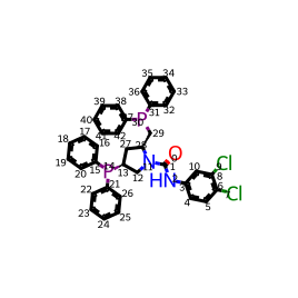 O=C(Nc1ccc(Cl)c(Cl)c1)N1C[C@@H](P(c2ccccc2)c2ccccc2)C[C@H]1CP(c1ccccc1)c1ccccc1